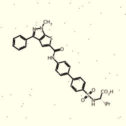 CC(C)[C@H](NS(=O)(=O)c1ccc(-c2ccc(NC(=O)c3cc4c(-c5ccccc5)nn(C)c4s3)cc2)cc1)C(=O)O